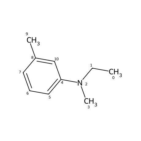 CCN(C)c1cccc(C)c1